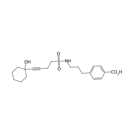 O=C(O)c1ccc(CCCNS(=O)(=O)CCC#CC2(O)CCCCC2)cc1